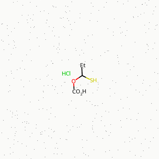 CCC(S)OC(=O)O.Cl